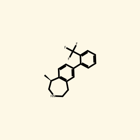 C[C@@H]1CNCCc2cc(-c3ccccc3C(F)(F)F)ccc21